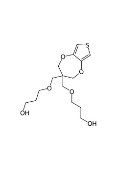 OCCCOCC1(COCCCO)COc2cscc2OC1